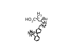 CCC(C)C(CC(C)C(=O)O)c1ncnn1Cc1ccc(-c2ccccc2-c2nnn[nH]2)cc1